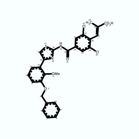 COc1c(OCc2ccccc2)cccc1-c1csc(NC(=O)c2cc(Cl)c(C=C(C)C(=O)O)c(Cl)c2)n1